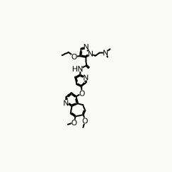 C=C(Nc1ccc(Oc2ccnc3c2CC=C(OC)C(OC)=C3)cn1)c1c(OCC)cnn1CCN(C)C